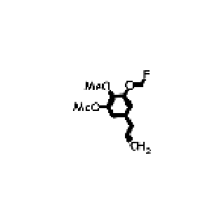 C=CCc1cc(OC)c(OC)c(OCF)c1